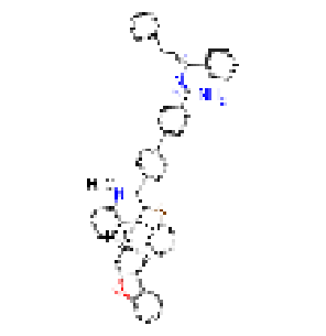 CN1c2cccc(-c3ccc4c(c3)oc3ccccc34)c2C2(C)c3ccccc3SC2C1c1ccc(-c2ccc(/C(N)=N/C(=C\Cc3ccccc3)c3ccccc3)cc2)cc1